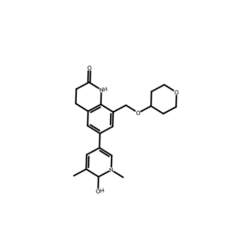 CC1=CC(c2cc3c(c(COC4CCOCC4)c2)NC(=O)CC3)=CN(C)C1O